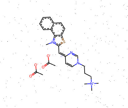 CC(=O)[O-].CC(=O)[O-].C[n+]1c(/C=C2/C=CN(CCC[N+](C)(C)C)C=N2)sc2ccc3ccccc3c21